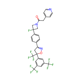 O=C(Cc1ccncc1)N1CC(F)(c2ccc(C3=NOC(c4cc(C(F)(F)F)cc(C(F)(F)F)c4)(C(F)(F)F)C3)cc2)C1